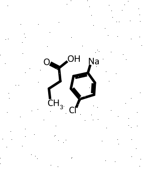 CCCC(=O)O.[Na][c]1ccc(Cl)cc1